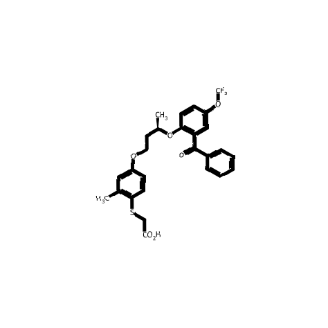 Cc1cc(OCC[C@@H](C)Oc2ccc(OC(F)(F)F)cc2C(=O)c2ccccc2)ccc1SCC(=O)O